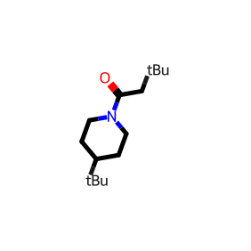 CC(C)(C)CC(=O)N1CCC(C(C)(C)C)CC1